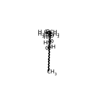 CCCCCCCCC=CCCCCCCCC(=O)NCCNC(=O)CCNC(=O)C1OC(C)(C)OCC1(C)C